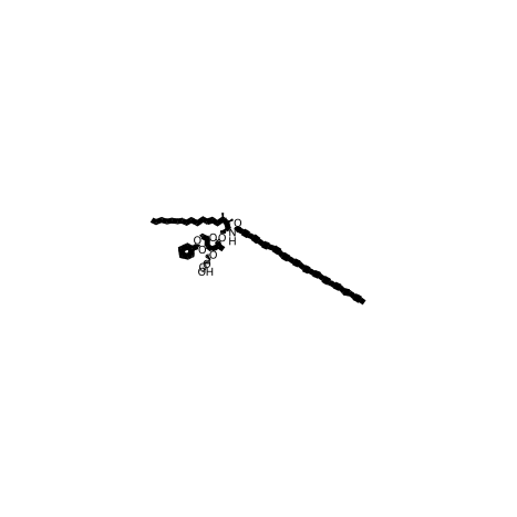 CC#CC#CC#CC#CC#CC#CC#CC#CC#CC#CC#CC#CC(=O)N[C@@H](COC1OC2COC(c3ccccc3)OC2C(OSOOO)C1C)[C@H](C)[C@H](C)CC=CCCCCCCCCCCC